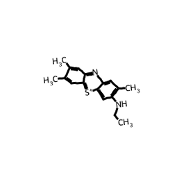 CCNc1cc2[s+]c3cc(C)c(C)cc3nc2cc1C